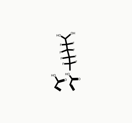 C=CC(=O)O.C=CC(=O)O.CC(F)(F)C(F)(F)C(F)(F)C(F)(F)C(O)O